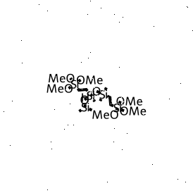 CO[Si](CC[Si](C)(C)O[Si](C)(CC[Si](OC)(OC)OC)O[SiH](C)C)(OC)OC